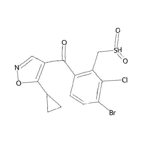 O=C(c1cnoc1C1CC1)c1ccc(Br)c(Cl)c1C[SH](=O)=O